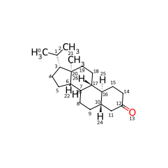 CC(C)[C@H]1CC[C@H]2[C@@H]3CC[C@H]4CC(=O)CC[C@@H]4[C@H]3CC[C@]12C